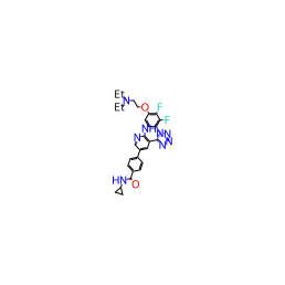 CCN(CC)CCOc1ccc(-n2nnnc2-c2cc(-c3ccc(C(=O)NC4CC4)cc3)cnc2N)c(F)c1F